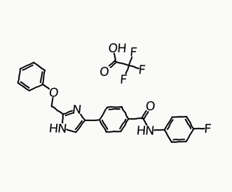 O=C(Nc1ccc(F)cc1)c1ccc(-c2c[nH]c(COc3ccccc3)n2)cc1.O=C(O)C(F)(F)F